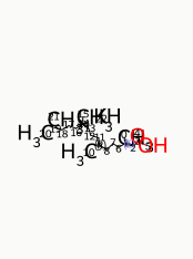 C/C(=C\C(=O)O)CCC[C@H](C)CCC[C@H](C)CCCC(C)C.[KH]